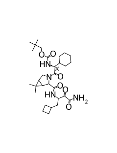 CC(C)(C)COC(=O)N[C@H](C(=O)N1CC2C(C1C(=O)NC(CC1CCC1)C(=O)C(N)=O)C2(C)C)C1CCCCC1